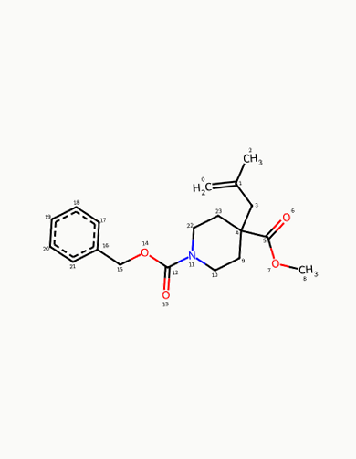 C=C(C)CC1(C(=O)OC)CCN(C(=O)OCc2ccccc2)CC1